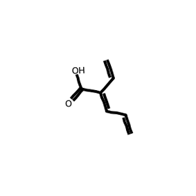 C=C/C=C(\C=C)C(=O)O